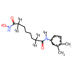 [2H]N(C(=O)C([2H])([2H])CCCCC([2H])([2H])C(=O)NO)c1ccc(C)c(C)c1